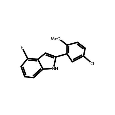 COc1ccc(Cl)cc1-c1cc2c(F)cccc2[nH]1